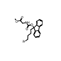 COC(=O)CNC(=O)OC1(CCCCBr)c2ccccc2-c2ccccc21